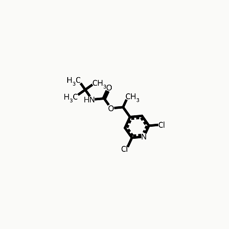 CC(OC(=O)NC(C)(C)C)c1cc(Cl)nc(Cl)c1